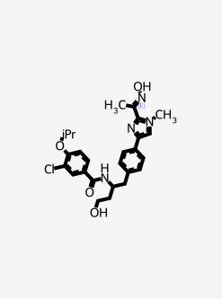 C/C(=N\O)c1nc(-c2ccc(CC(CCO)NC(=O)c3ccc(OC(C)C)c(Cl)c3)cc2)cn1C